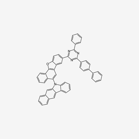 c1ccc(-c2ccc(-c3nc(-c4ccccc4)nc(-c4ccc5oc6c7ccccc7c(-n7c8ccccc8c8cc9ccccc9cc87)cc6c5c4)n3)cc2)cc1